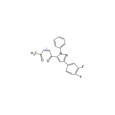 CC(=O)/C=C\C(=O)c1cc(-c2ccc(F)c(F)c2)nn1-c1ccccc1